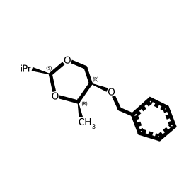 CC(C)[C@H]1OC[C@@H](OCc2ccccc2)[C@@H](C)O1